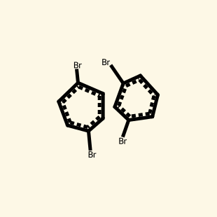 Brc1ccc(Br)cc1.Brc1cccc(Br)c1